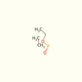 CC.CCOP=O